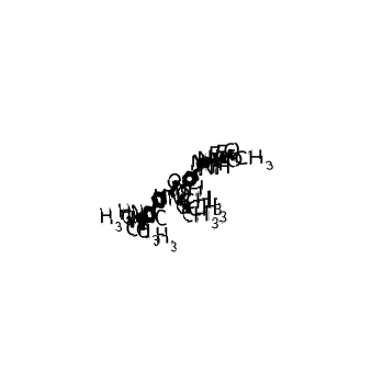 COC(=O)C(F)(F)C(F)(F)c1nnc(-c2ccc(NC(=O)[C@H](Cc3ccc(-c4cc5[nH]n(C(C)C)c(=O)c5cc4C)cc3)NC(=O)OC(C)(C)C)cc2)[nH]1